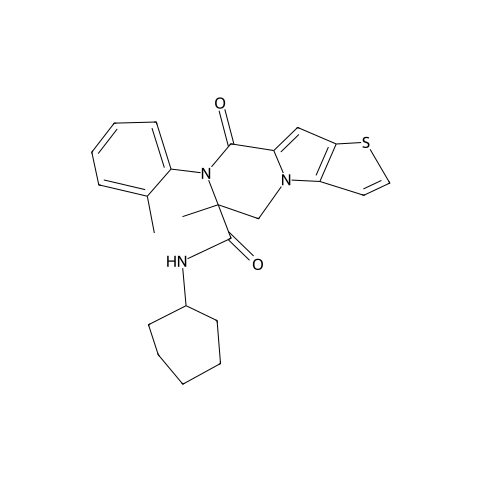 Cc1ccccc1N1C(=O)c2cc3sccc3n2CC1(C)C(=O)NC1CCCCC1